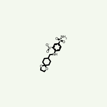 NS(=O)(=O)c1ccc(NCC2CCC3(CC2)OCCO3)c([N+](=O)[O-])c1